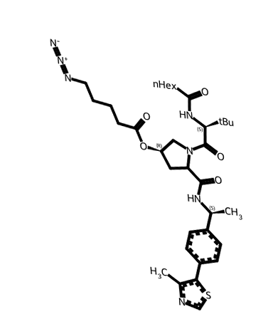 CCCCCCC(=O)N[C@H](C(=O)N1C[C@H](OC(=O)CCCCN=[N+]=[N-])CC1C(=O)N[C@@H](C)c1ccc(-c2scnc2C)cc1)C(C)(C)C